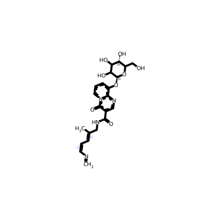 C=N/C=C\C=C(/C)CNC(=O)c1cnc2c(O[C@@H]3OC(CO)[C@@H](O)C(O)C3O)cccn2c1=O